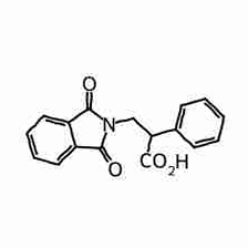 O=C(O)C(CN1C(=O)c2ccccc2C1=O)c1ccccc1